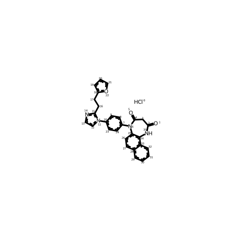 Cl.O=C1CC(=O)N(c2ccc(-n3ccnc3CCc3ccco3)cc2)c2ccc3ccccc3c2N1